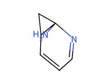 NC12CC1C=CC=N2